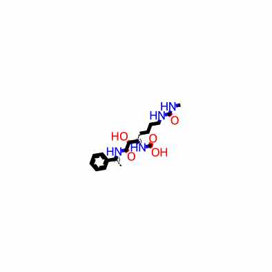 CNC(=O)NCCCC[C@H](NC(=O)O)C(O)C(=O)N[C@H](C)c1ccccc1